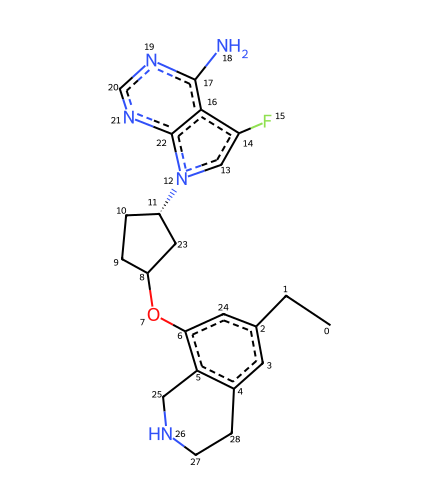 CCc1cc2c(c(OC3CC[C@H](n4cc(F)c5c(N)ncnc54)C3)c1)CNCC2